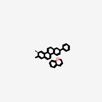 C1=Cc2ccccc2OC1.CC1=Cc2ccc3c(c2=C[C@@H]1C)=CCC1=C3C=CC(c2ccccc2)C1